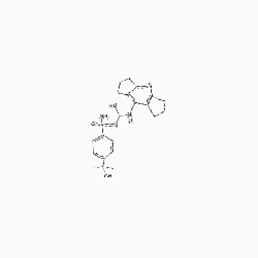 CC(C)(O)c1ccc(S(N)(=O)=NC(O)Nc2c3c(nc4c2CCC4)CCC3)cc1